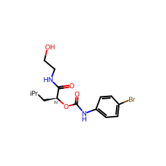 CC(C)C[C@H](OC(=O)Nc1ccc(Br)cc1)C(=O)NCCO